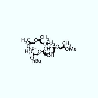 CCCCOC(C)COC(C)CO.CCCOC(C)COC(C)CO.COC(C)COC(C)CO